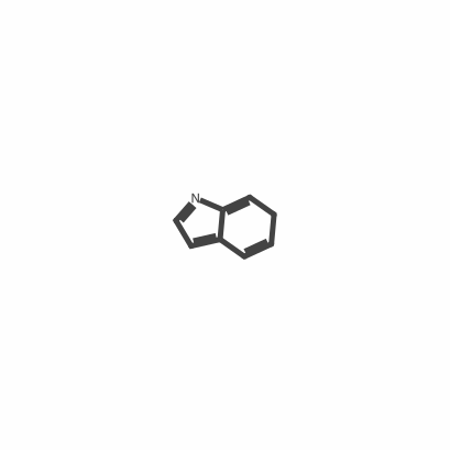 C1=CC2=CC=NC2=CC1